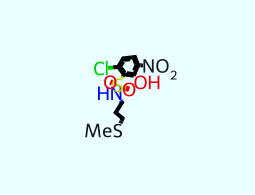 CSCCCNS(=O)(=O)c1c(Cl)ccc([N+](=O)[O-])c1O